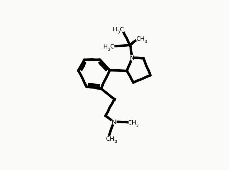 CN(C)CCc1ccccc1C1CCCN1C(C)(C)C